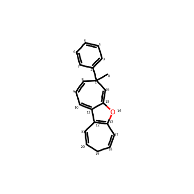 CC1(c2ccccc2)C=CC=c2c3c(oc2=C1)C=CCC=C3